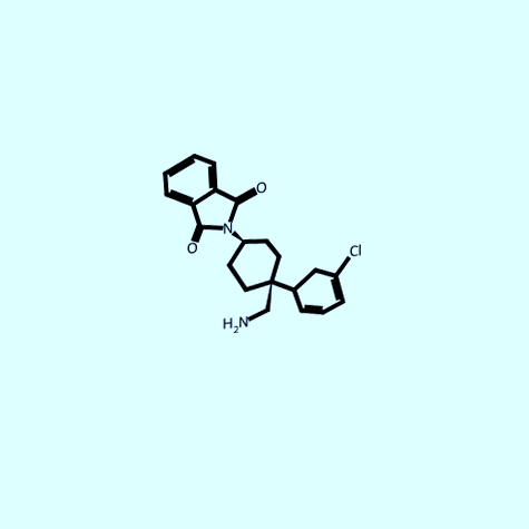 NC[C@]1(C2C=CC=C(Cl)C2)CC[C@H](N2C(=O)c3ccccc3C2=O)CC1